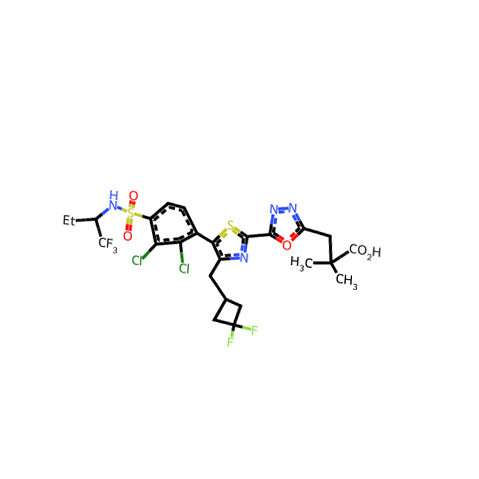 CCC(NS(=O)(=O)c1ccc(-c2sc(-c3nnc(CC(C)(C)C(=O)O)o3)nc2CC2CC(F)(F)C2)c(Cl)c1Cl)C(F)(F)F